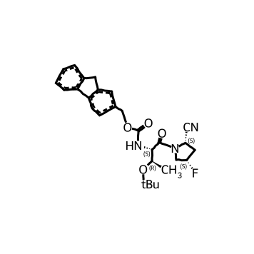 C[C@@H](OC(C)(C)C)[C@H](NC(=O)OCc1ccc2c(c1)Cc1ccccc1-2)C(=O)N1C[C@@H](F)C[C@H]1C#N